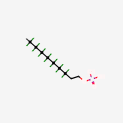 O=P(O)(O)OCCC(F)(F)C(F)(F)C(F)(F)C(F)(F)C(F)(F)C(F)(F)C(F)(F)C(F)(F)F